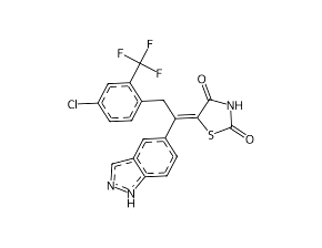 O=C1NC(=O)/C(=C(\Cc2ccc(Cl)cc2C(F)(F)F)c2ccc3[nH]ncc3c2)S1